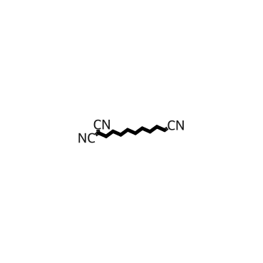 N#CCCCCCCCCCC(C#N)C#N